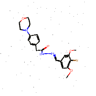 COc1cc(/C=N/NC(=O)Cc2ccc(N3CCOCC3)cc2)cc(OC)c1Br